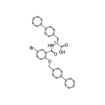 O=C(N[C@@H](Cc1ccc(-c2ccccc2)cc1)C(=O)O)c1cc(Br)ccc1OCc1ccc(-c2ccccc2)cc1